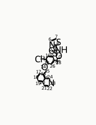 O=S(=O)(Nc1nccs1)c1cc(Cl)c(OCc2cccc3ccncc23)cc1F